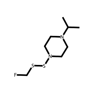 CC(C)N1CCN(SSCF)CC1